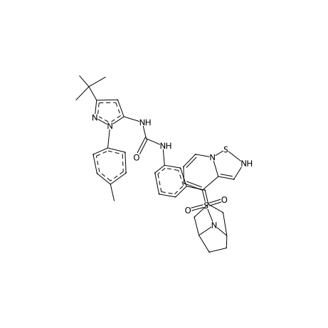 Cc1ccc(-n2nc(C(C)(C)C)cc2NC(=O)Nc2cccc(CC3CC4CCC(C3)N4S(=O)(=O)C3=CC=CN4SNC=C34)c2)cc1